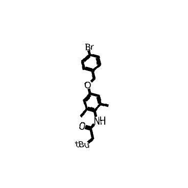 Cc1cc(OCc2ccc(Br)cc2)cc(C)c1NC(=O)CC(C)(C)C